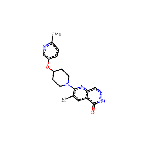 CCc1cc2c(=O)[nH]ncc2nc1N1CCC(Oc2ccc(OC)nc2)CC1